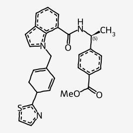 COC(=O)c1ccc([C@H](C)NC(=O)c2cccc3ccn(CC4=CCC(c5nccs5)C=C4)c23)cc1